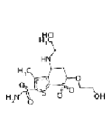 CCNC1CC(OCCO)S(=O)(=O)c2sc(S(N)(=O)=O)c(C)c21.Cl